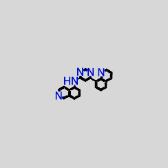 c1cc(Nc2cc(-c3cccc4cccnc34)ncn2)c2ccncc2c1